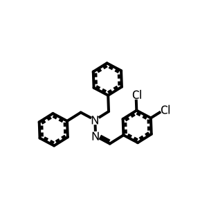 Clc1ccc(/C=N\N(Cc2ccccc2)Cc2ccccc2)cc1Cl